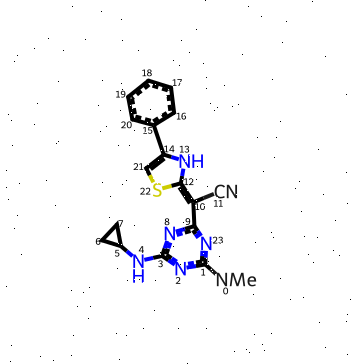 CNc1nc(NC2CC2)nc(/C(C#N)=C2/NC(c3ccccc3)=CS2)n1